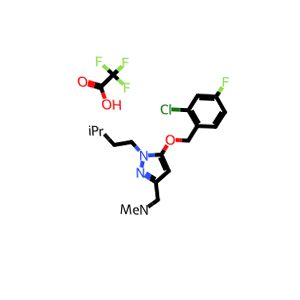 CNCc1cc(OCc2ccc(F)cc2Cl)n(CCC(C)C)n1.O=C(O)C(F)(F)F